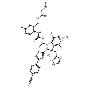 CNCC(=O)OCc1cc(C)ccc1NC(=O)OC(C)C[C@@H](c1nc(-c2ccc(C#N)cc2)cs1)[C@](O)(CC1=NNC=[N+]1)c1cc(F)ccc1F.Cl.[Cl-]